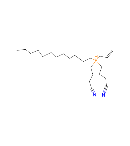 C=CC[PH](CCCC#N)(CCCC#N)CCCCCCCCCCCC